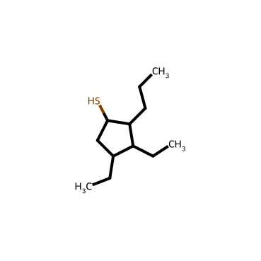 CCCC1C(S)CC(CC)C1CC